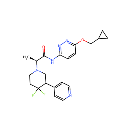 C[C@@H](C(=O)Nc1ccc(OCC2CC2)nn1)N1CCC(F)(F)C(c2ccncc2)C1